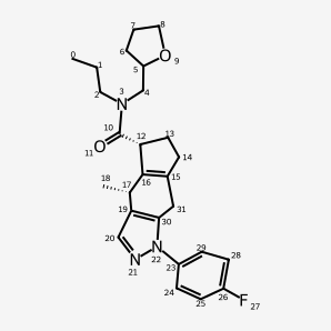 CCCN(CC1CCCO1)C(=O)[C@@H]1CCC2=C1[C@@H](C)c1cnn(-c3ccc(F)cc3)c1C2